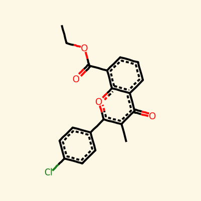 CCOC(=O)c1cccc2c(=O)c(C)c(-c3ccc(Cl)cc3)oc12